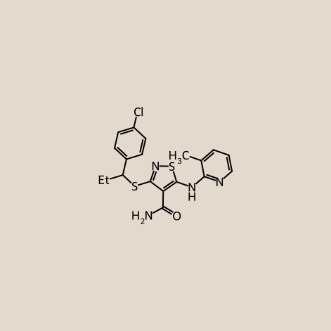 CCC(Sc1nsc(Nc2ncccc2C)c1C(N)=O)c1ccc(Cl)cc1